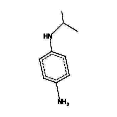 CC(C)Nc1ccc(N)cc1